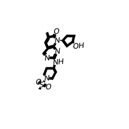 Cc1cc2cnc(NC3CCN(S(C)(=O)=O)CC3)nc2n([C@@H]2CC[C@@H](O)C2)c1=O